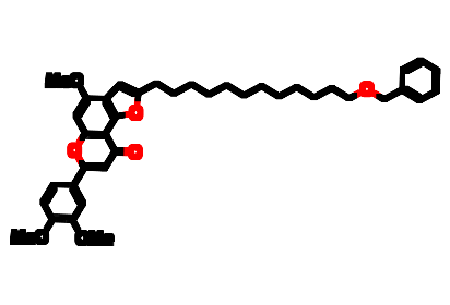 COc1ccc(-c2cc(=O)c3c(cc(OC)c4cc(CCCCCCCCCCCCOCc5ccccc5)oc43)o2)cc1OC